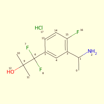 CC(N)c1cc(C(F)(F)C(C)(C)O)ccc1F.Cl